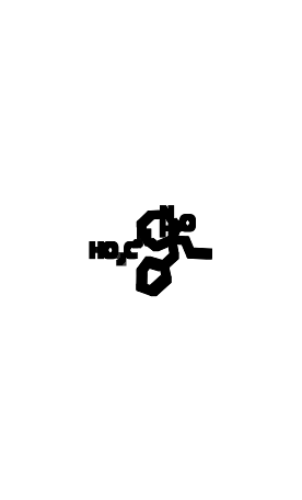 C=CCC1(Cc2ccccc2)CN(C(=O)O)CCNC1=O